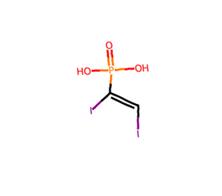 O=P(O)(O)C(I)=CI